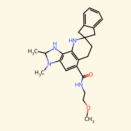 COCCNC(=O)c1cc2c(c3c1CCC1(Cc4ccccc4C1)N3)NC(C)N2C